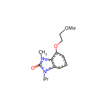 COCCOc1cccc2c1n(C)c(=O)n2C(C)C